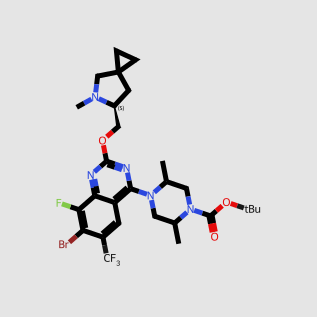 CC1CN(c2nc(OC[C@@H]3CC4(CC4)CN3C)nc3c(F)c(Br)c(C(F)(F)F)cc23)C(C)CN1C(=O)OC(C)(C)C